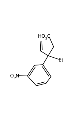 C=CC(CC)(CC(=O)O)c1cccc([N+](=O)[O-])c1